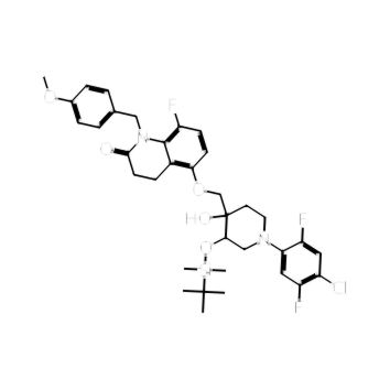 COc1ccc(CN2C(=O)CCc3c(OCC4(O)CCN(c5cc(F)c(Cl)cc5F)CC4O[Si](C)(C)C(C)(C)C)ccc(F)c32)cc1